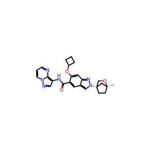 C[C@@]12CC[C@@](n3cc4cc(C(=O)Nc5cnn6cccnc56)c(OC5CCC5)cc4n3)(CO1)C2